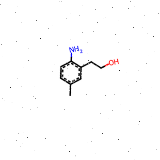 Cc1ccc(N)c(CCO)c1